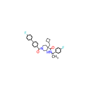 C[C@H](NC(=O)C1(CC2CCC2)CCN(C(=O)c2ccc(-c3ccc(F)cc3)cc2)CC1)c1ccc(F)cc1